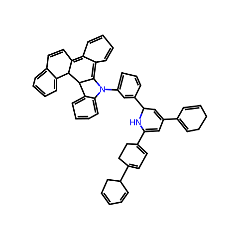 C1=CCC(C2=CC=C(C3=CC(C4=CCCC=C4)=CC(c4cccc(N5C6=c7ccccc7=C7C=Cc8ccccc8C7C6c6ccccc65)c4)N3)CC2)C=C1